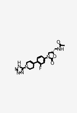 CC(=O)NC[C@H]1CN(c2ccc(C3=CCN(c4nnn[nH]4)CC3)c(F)c2)C(=O)O1